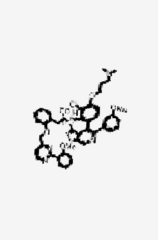 COc1cccc(-c2ncc3snc(O[C@H](Cc4ccccc4OCc4ccnc(-c5ccccc5OC)n4)C(=O)O)c3c2-c2ccc(OCCCN(C)C)c(Cl)c2C)c1